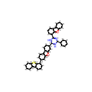 c1ccc(C2N=C(c3cccc4c3oc3ccccc34)NC(c3ccc4c(c3)oc3cc(-c5cccc6c5sc5ccccc56)ccc34)N2)cc1